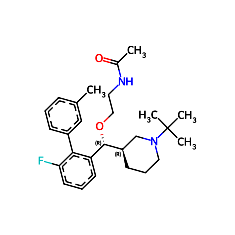 CC(=O)NCCO[C@@H](c1cccc(F)c1-c1cccc(C)c1)[C@@H]1CCCN(C(C)(C)C)C1